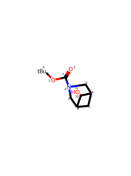 CC(C)(C)OC(=O)N1CC2CC(C1)C2O